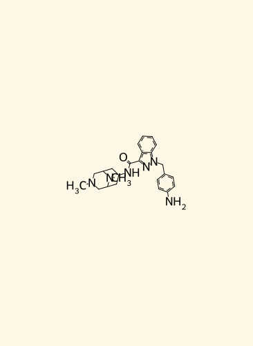 CN1CC2CC(NC(=O)c3nn(Cc4ccc(N)cc4)c4ccccc34)CC(C1)N2C